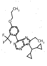 CCCOc1ccc(-c2ncnc3c2nc(CC)n3C(C2CC2)C2CC2)c(C(F)(F)F)c1